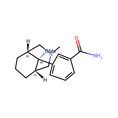 CO[C@@]1(c2cccc(C(N)=O)c2)[C@@H]2CCC[C@H]1CN(C)C2